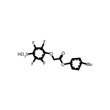 CCC(C)c1ccc(OC(=O)COc2c(F)c(F)c(S(=O)(=O)O)c(F)c2F)cc1